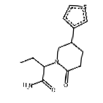 CCC(C(N)=O)N1CC(c2ccsc2)CCC1=O